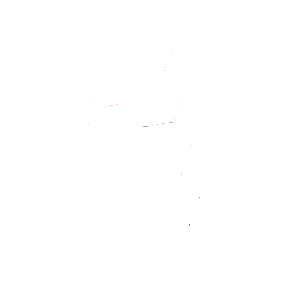 CCCCCC(CCC)CO[PH](=O)O